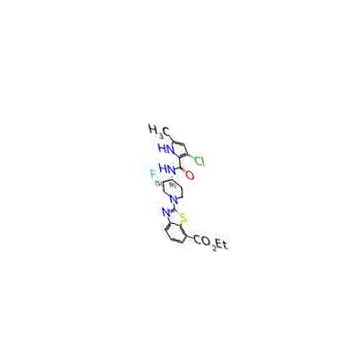 CCOC(=O)c1cccc2nc(N3CC[C@@H](NC(=O)c4[nH]c(C)cc4Cl)[C@@H](F)C3)sc12